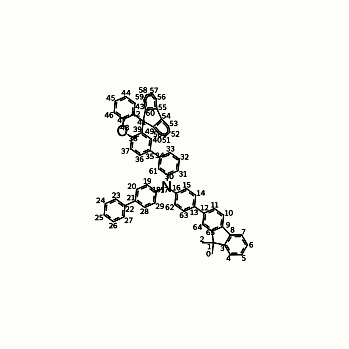 CC1(C)c2ccccc2-c2ccc(-c3ccc(N(c4ccc(-c5ccccc5)cc4)c4cccc(-c5ccc6c(c5)C5(c7ccccc7O6)c6ccccc6-c6ccccc65)c4)cc3)cc21